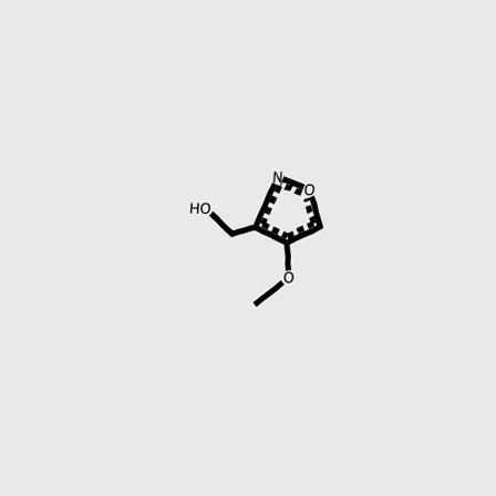 COc1conc1CO